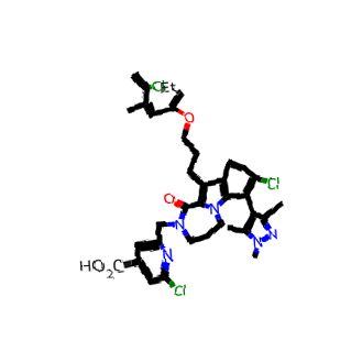 C=C(Cl)/C(C)=C\C(=C/CC)OCCCc1c2n(c3c(-c4c(C)nn(C)c4C)c(Cl)ccc13)CCCN(Cc1cc(C(=O)O)cc(Cl)n1)C2=O